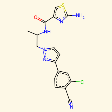 CC(Cn1ccc(-c2ccc(C#N)c(Cl)c2)n1)NC(=O)c1csc(N)n1